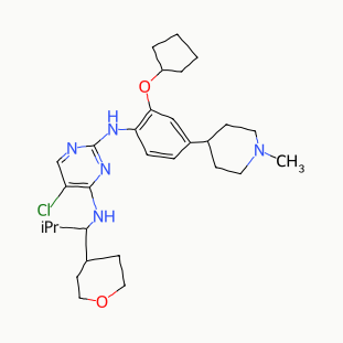 CC(C)C(Nc1nc(Nc2ccc(C3CCN(C)CC3)cc2OC2CCCC2)ncc1Cl)C1CCOCC1